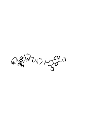 CC(C)(c1ccc(OCc2ccnc(NS(=O)(=O)c3cccnc3)n2)cc1)c1cc(Cl)c(OCCCl)c(C#N)c1